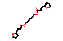 O=C(/C=C/c1ccco1)OCCCCCOC(=O)/C=C/c1ccco1